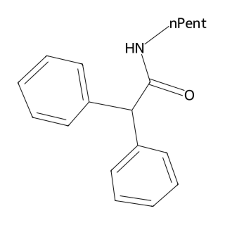 CCCCCNC(=O)C(c1ccccc1)c1ccccc1